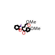 COC(=O)CCCC(Oc1ccccc1I)C(=O)c1ccc(OC)cc1